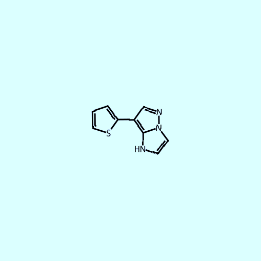 c1csc(-c2cnn3cc[nH]c23)c1